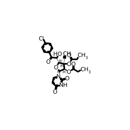 C#C[C@@]1(OC(=O)CC)[C@@H](C(O)C(=O)c2ccc(Cl)cc2)O[C@@H](n2ccc(=O)[nH]c2=O)[C@@H]1OC(=O)CC